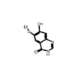 CCOc1cc2c(=O)[nH]cnc2cc1O